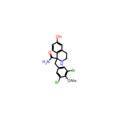 COc1c(Br)cc(CC2(C(N)=O)NCCc3cc(O)[c]cc32)cc1Br